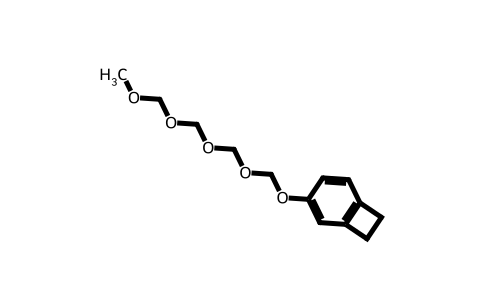 COCOCOCOCOc1ccc2c(c1)CC2